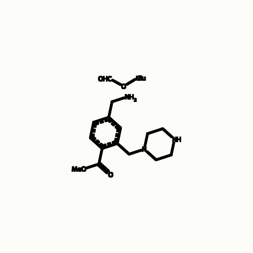 CC(C)(C)OC=O.COC(=O)c1ccc(CN)cc1CN1CCNCC1